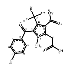 Cn1c(CC(=O)O)c(C(=O)O)c(C(F)(F)F)c1C(=O)c1ccc(Cl)cc1